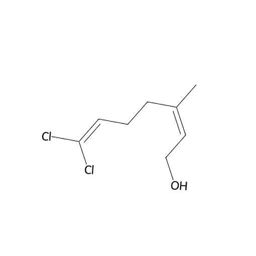 CC(=CCO)CCC=C(Cl)Cl